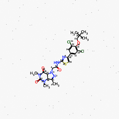 CC1=NN(CC(=O)Nc2nc(-c3cc(Cl)c(OCC(C)(C)C)c(Cl)c3)cs2)C2C(=O)N(C)C(=O)N(C)C12